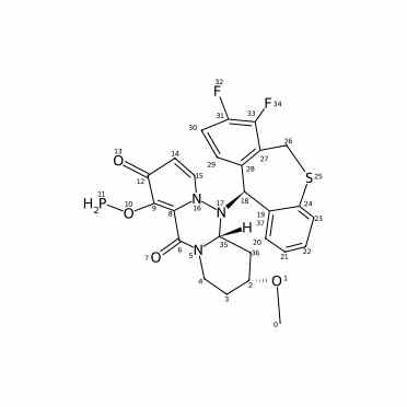 CO[C@@H]1CCN2C(=O)c3c(OP)c(=O)ccn3N([C@@H]3c4ccccc4SCc4c3ccc(F)c4F)[C@@H]2C1